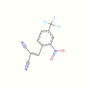 N#CC(C#N)=Cc1ccc(C(F)(F)F)cc1[N+](=O)[O-]